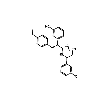 C[C@H](NC(CC#N)c1cccc(Cl)c1)[C@@H](Cc1ccc(CI)cc1)c1cccc(C#N)c1